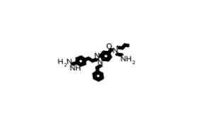 CCCCN(CCN)C(=O)c1ccc2c(c1)nc(CCc1ccc(C(=N)N)cc1)n2CCc1ccccc1